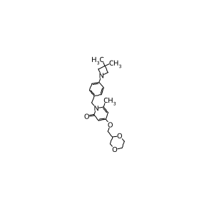 Cc1cc(OCC2COCCO2)cc(=O)n1Cc1ccc(N2CC(C)(C)C2)cc1